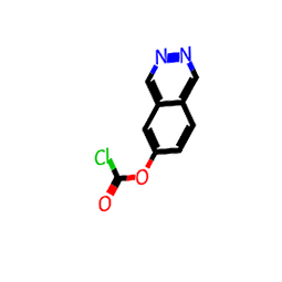 O=C(Cl)Oc1ccc2cnncc2c1